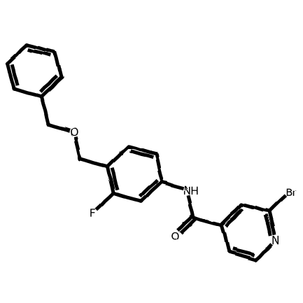 O=C(Nc1ccc(COCc2ccccc2)c(F)c1)c1ccnc(Br)c1